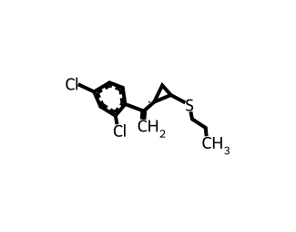 C=C([C]1CC1SCCC)c1ccc(Cl)cc1Cl